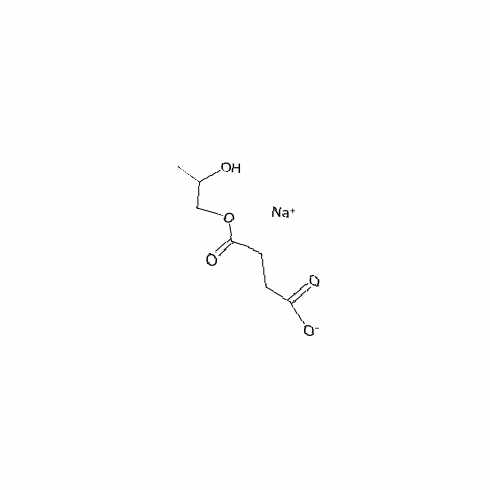 CC(O)COC(=O)CCC(=O)[O-].[Na+]